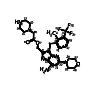 Cc1c(Cc2c(COC(=O)CN3CCNCC3)nc3c(N)cc(N4CCOCC4)nn23)cccc1C(F)(F)F